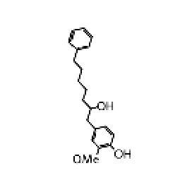 COc1cc(CC(O)CCCCCc2ccccc2)ccc1O